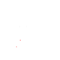 [Cl][Pd]([P](c1ccccc1)c1ccccc1)[P](c1ccccc1)c1ccccc1